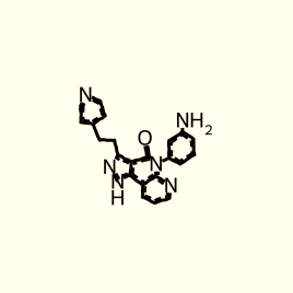 Nc1cccc(-n2c(=O)c3c(CCc4ccncc4)n[nH]c3c3cccnc32)c1